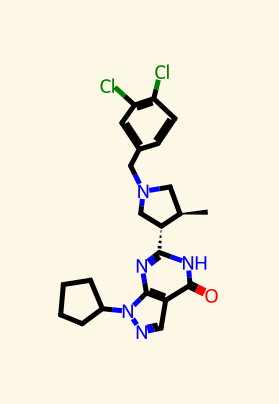 C[C@@H]1CN(Cc2ccc(Cl)c(Cl)c2)C[C@H]1c1nc2c(cnn2C2CCCC2)c(=O)[nH]1